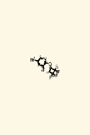 Fc1cc(Br)cnc1OC1CC(F)(F)C1(F)F